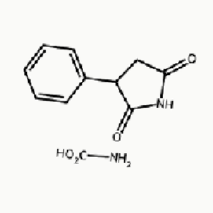 NC(=O)O.O=C1CC(c2ccccc2)C(=O)N1